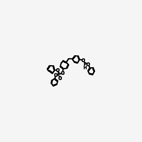 O=P(OC1=CCC=C(Cc2ccc(OPOc3ccccc3)cc2)C=C1)(Oc1ccccc1)Oc1ccccc1